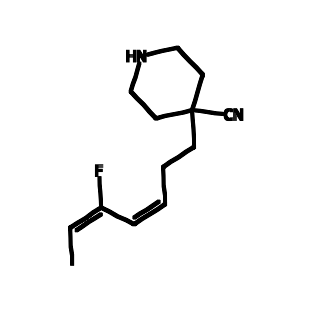 C/C=C(F)\C=C/CCC1(C#N)CCNCC1